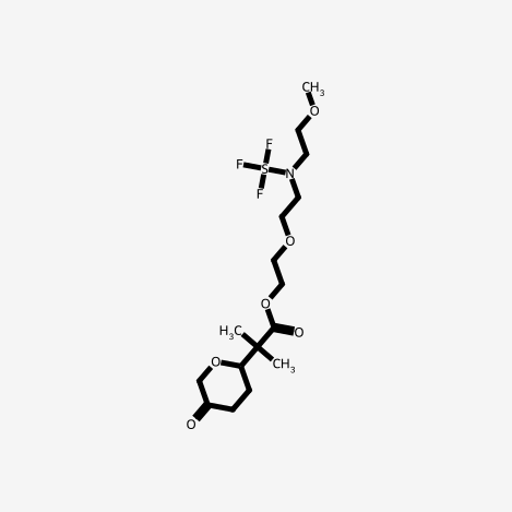 COCCN(CCOCCOC(=O)C(C)(C)C1CCC(=O)CO1)S(F)(F)F